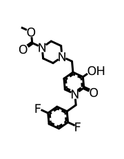 COC(=O)N1CCN(Cc2ccn(Cc3cc(F)ccc3F)c(=O)c2O)CC1